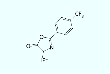 CC(C)C1N=C(c2ccc(C(F)(F)F)cc2)OC1=O